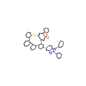 c1ccc(-c2nc3cc(-c4ccc5c(c4)-c4cc6oc7ccccc7c6cc4Sc4ccccc4-c4ccccc4-c4ccccc4-5)ccc3n2-c2ccccc2)cc1